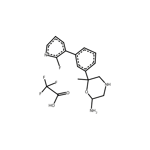 CC1(c2cccc(-c3cccnc3F)c2)CNCC(N)O1.O=C(O)C(F)(F)F